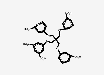 O=C(O)c1cccc(OCC(COc2cccc(C(=O)O)c2)(COc2cccc(C(=O)O)c2)COc2cc(C(=O)O)cc(C(=O)O)c2)c1